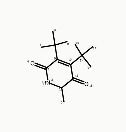 CC1NC(=O)C(C(C)(C)C)=C(C(C)(C)C)C1=O